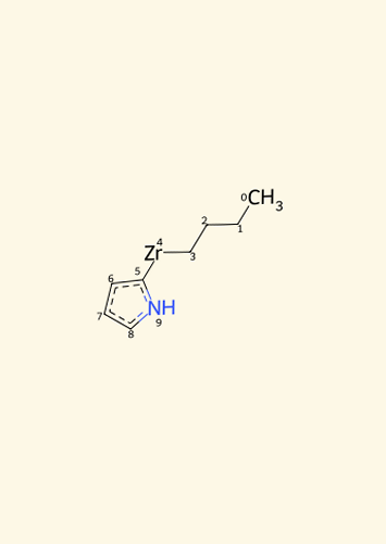 CCC[CH2][Zr][c]1ccc[nH]1